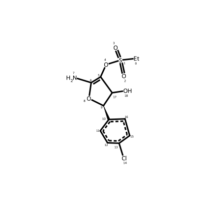 CCS(=O)(=O)OC1=C(N)O[C@H](c2ccc(Cl)cc2)C1O